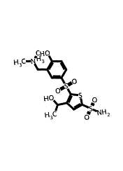 CC(O)c1cc(S(N)(=O)=O)sc1S(=O)(=O)c1ccc(O)c(CN(C)C)c1